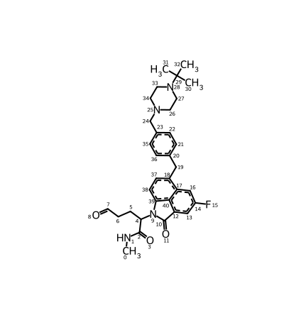 CNC(=O)C(CCC=O)N1C(=O)c2cc(F)cc3c(Cc4ccc(CN5CCN(C(C)(C)C)CC5)cc4)ccc1c23